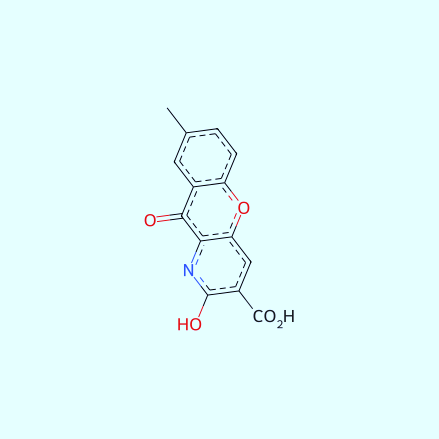 Cc1ccc2oc3cc(C(=O)O)c(O)nc3c(=O)c2c1